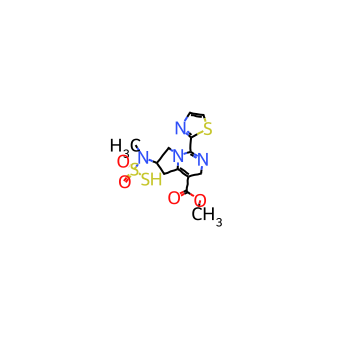 COC(=O)C1=C2CC(N(C)S(=O)(=O)S)CN2C(c2nccs2)=NC1